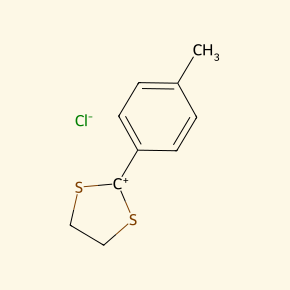 Cc1ccc([C+]2SCCS2)cc1.[Cl-]